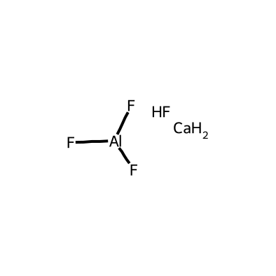 F.[CaH2].[F][Al]([F])[F]